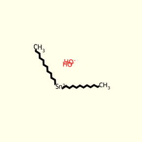 CCCCCCCCCCC[CH2][Sn+2][CH2]CCCCCCCCCCC.[OH-].[OH-]